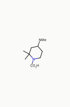 CNC1CCN(C(=O)O)C(C)(C)C1